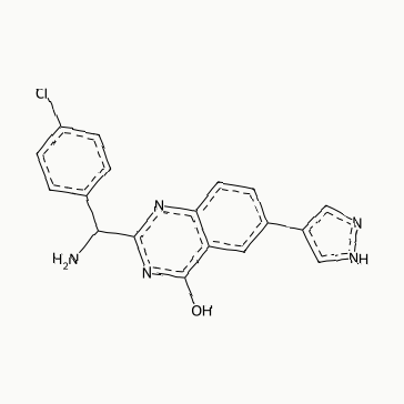 NC(c1ccc(Cl)cc1)c1nc(O)c2cc(-c3cn[nH]c3)ccc2n1